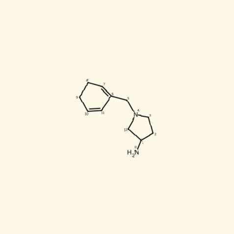 NC1CCN(CC2=CCCC=C2)C1